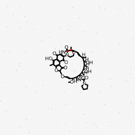 CO[C@H]1/C=C/O[C@@]2(C)Oc3c(C)c(O)c4c(c3C2=O)C(=O)C(N2CCOCC2)=C(NC(=O)/C(C)=C\C=C\[C@H](C)[C@H](O)[C@@H](C)[C@@H](O)[C@@H](C)[C@H](OC(=O)N2CCCC2)[C@@H]1C)C4=O